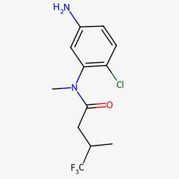 CC(CC(=O)N(C)c1cc(N)ccc1Cl)C(F)(F)F